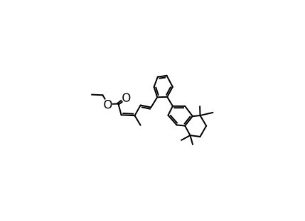 CCOC(=O)/C=C(C)\C=C\c1ccccc1-c1ccc2c(c1)C(C)(C)CCC2(C)C